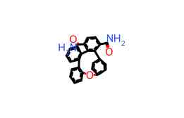 NC(=O)c1ccc(C(N)=O)c2c1-c1ccc(cc1)Oc1ccccc1-c1ccccc1-2